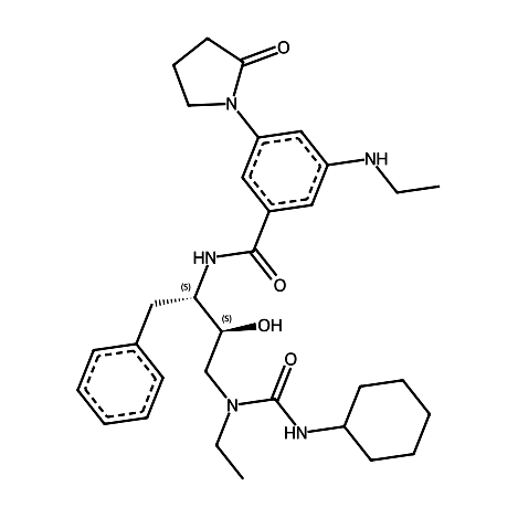 CCNc1cc(C(=O)N[C@@H](Cc2ccccc2)[C@@H](O)CN(CC)C(=O)NC2CCCCC2)cc(N2CCCC2=O)c1